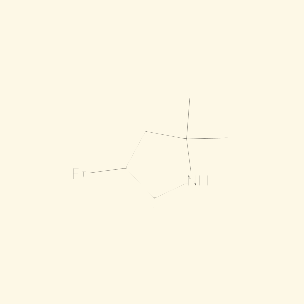 CCC1CNC(C)(C)C1